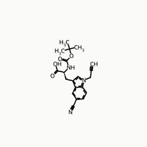 C#CCn1cc(C[C@H](NC(=O)OC(C)(C)C)C(=O)O)c2cc(C#N)ccc21